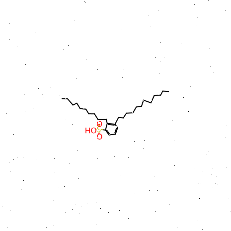 CCCCCCCCCCCCc1cccc(S(=O)(=O)O)c1CCCCCCCCCC